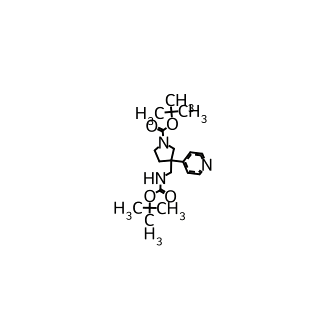 CC(C)(C)OC(=O)NCC1(c2ccncc2)CCN(C(=O)OC(C)(C)C)C1